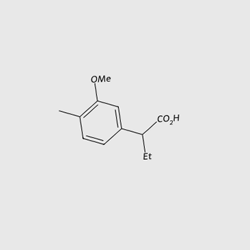 CCC(C(=O)O)c1ccc(C)c(OC)c1